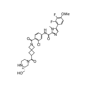 COc1ccc(-c2cnc(C(=O)Nc3ccc(C(=O)N4CC5(CC(C(=O)N6CCN[C@@H](CO)C6)C5)C4)c(Cl)c3)n2C)c(F)c1F